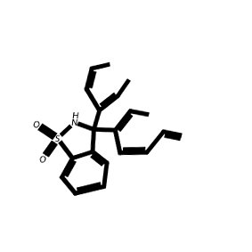 C=C/C=C\C(=C/C)C1(C(/C=C\C)=C/C)NS(=O)(=O)c2ccccc21